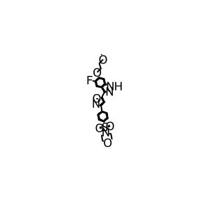 COCCOc1cc2[nH]nc(-c3cc(-c4ccc(S(=O)(=O)N5CCOCC5)cc4)no3)c2cc1F